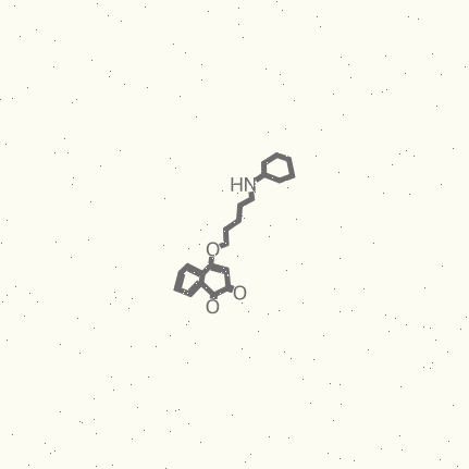 O=C1C=C(OCCCCCNC2CCCCC2)c2ccccc2C1=O